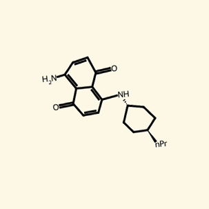 CCC[C@H]1CC[C@H](NC2=C3C(=O)C=CC(N)=C3C(=O)C=C2)CC1